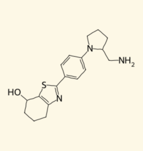 NCC1CCCN1c1ccc(-c2nc3c(s2)C(O)CCC3)cc1